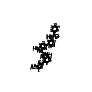 CC(=O)c1ccc(-c2ccnc3[nH]c(-c4n[nH]c5ccc(-c6cncc(NC(=O)c7ccccc7)c6)nc45)nc23)s1